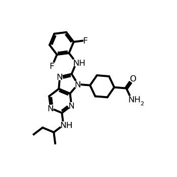 CCC(C)Nc1ncc2nc(Nc3c(F)cccc3F)n(C3CCC(C(N)=O)CC3)c2n1